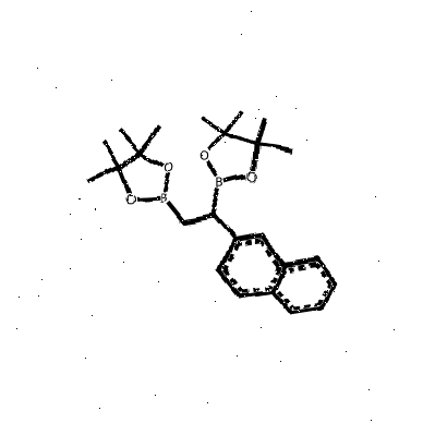 CC1(C)OB([CH]C(B2OC(C)(C)C(C)(C)O2)c2ccc3ccccc3c2)OC1(C)C